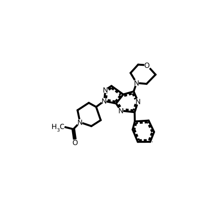 CC(=O)N1CCC(n2ncc3c(N4CCOCC4)nc(-c4cc[c]cc4)nc32)CC1